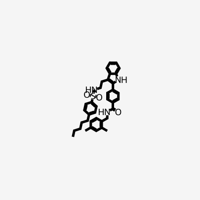 CCCCCc1ccc(S(=O)(=O)NCCc2c(-c3ccc(C(=O)NCc4ccc(C)cc4C)cc3)[nH]c3ccccc23)cc1